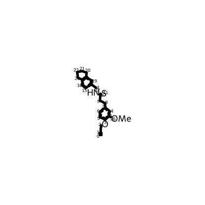 C#CCOc1ccc(CCC(=S)NCc2ccc3c(c2)CCCC3)cc1OC